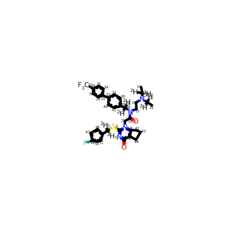 [2H]C([2H])(Sc1nc(=O)c2c(n1CC(=O)N(CCN(C([2H])([2H])C)C([2H])([2H])C)C([2H])([2H])c1ccc(-c3ccc(C(F)(F)F)cc3)cc1)CCC2)c1ccc(F)cc1